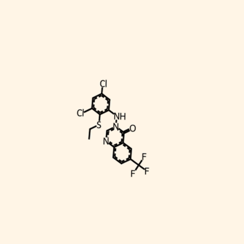 CCSc1c(Cl)cc(Cl)cc1Nn1cnc2ccc(C(F)(F)F)cc2c1=O